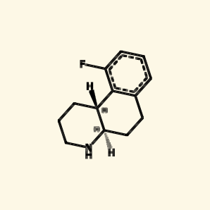 Fc1cccc2c1[C@H]1CCCN[C@@H]1CC2